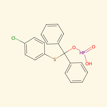 O=[PH](O)OC(Sc1ccc(Cl)cc1)(c1ccccc1)c1ccccc1